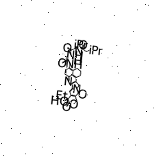 CC[C@@]1(O)C(=O)OCc2c1cc1n(c2=O)Cc2c-1nc1ccc(NC(=O)[C@H](C)NC(=O)[C@@H](NC(=O)CC(C)C)C(C)C)c3c1c2CCC3